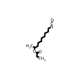 C=CC(=O)OC(C)CCCCCCCCN=C=O